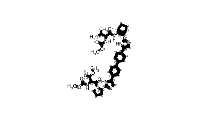 COC(=O)NC(C(=O)N[C@H]1C2CCC(C2)[C@@H]1c1ncc(-c2ccc(-c3ccc(-c4cnc([C@@H]5CCCN5C(=O)C(NC(=O)OC)C(C)OC)[nH]4)cc3)cc2)[nH]1)C(C)C